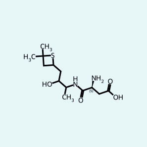 CC(NC(=O)[C@@H](N)CC(=O)O)C(O)CC1CC(C)(C)S1